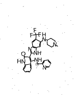 C[C@H](Nc1c(-c2nc3cc(C(F)(F)F)c(NC4CCN(C)CC4)cc3[nH]2)c(=O)[nH]c2ccccc12)c1ccccn1